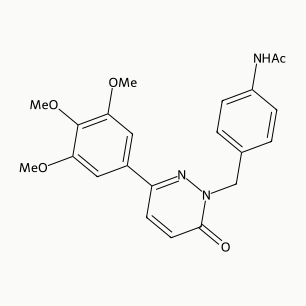 COc1cc(-c2ccc(=O)n(Cc3ccc(NC(C)=O)cc3)n2)cc(OC)c1OC